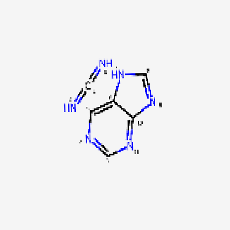 N=C=N.c1ncc2[nH]cnc2n1